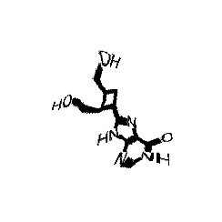 O=c1[nH]cnc2[nH]c(C3CC(CO)C3CO)nc12